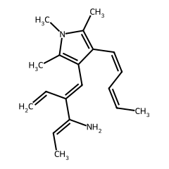 C=CC(=C\c1c(/C=C\C=C/C)c(C)n(C)c1C)/C(N)=C/C